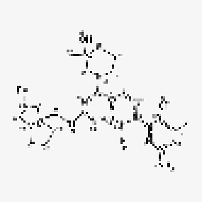 Cc1cc(N)nc(-c2ncc3c(N4CCCC(C)(O)C4)nc(OC[C@@]45CCCN4C[C@H](F)C5)nc3c2F)c1C(F)(F)F